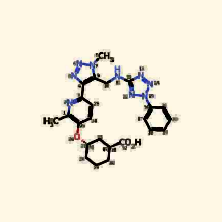 Cc1nc(-c2nnn(C)c2CNc2nnn(-c3ccccc3)n2)ccc1O[C@H]1CCC[C@H](C(=O)O)C1